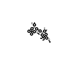 C=CCOc1ccc(C2(c3ccccc3)C(/C=C\C)=C(C=C)c3ccc(N(c4ccc(-c5ccc(N(c6ccc(C)c(F)c6)c6ccc7c(c6)C(c6ccccc6)(c6ccc(OCC=C)cc6)c6ccccc6-7)cc5)cc4)c4ccc(C)c(F)c4)cc32)cc1